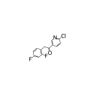 O=C(Cc1ccc(F)cc1F)c1ccc(Cl)nc1